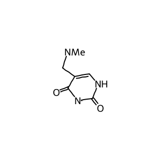 CNCC1=CNC(=O)[N]C1=O